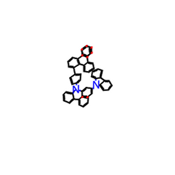 c1ccc(-c2ccccc2-c2c(-c3ccccc3)cccc2-c2ccc(N(c3cccc(-n4c5ccccc5c5ccccc54)c3)c3ccccc3-c3ccccc3)cc2)cc1